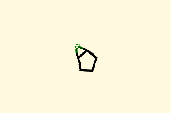 C1CC2[F+]C2C1